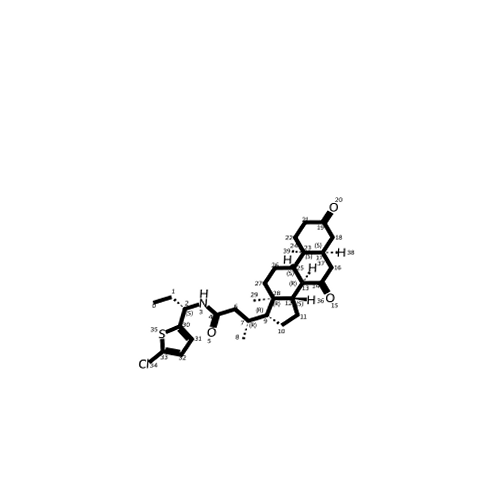 CC[C@H](NC(=O)C[C@@H](C)[C@H]1CC[C@H]2[C@@H]3C(=O)C[C@@H]4CC(=O)CC[C@]4(C)[C@H]3CC[C@]12C)c1ccc(Cl)s1